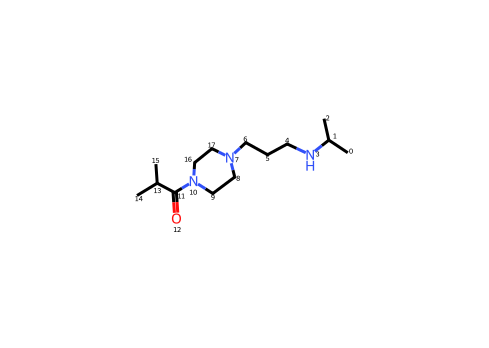 CC(C)NCCCN1CCN(C(=O)C(C)C)CC1